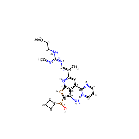 C=N/C(=N\C=C(/C)c1cc(-c2ncccn2)c2c(N)c([S+]([O-])C3CCC3)sc2n1)NCCOC